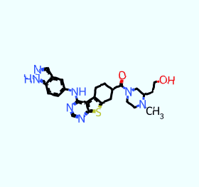 CN1CCN(C(=O)C2CCc3c(sc4ncnc(Nc5ccc6[nH]ncc6c5)c34)C2)CC1CCO